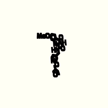 COc1ccc2c(=O)[nH]c(C(=O)NCc3ccnc(OCC4CCOC4)c3)nc2c1